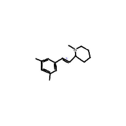 Cc1cc(C)cc(/C=C/C2CCCCN2C)c1